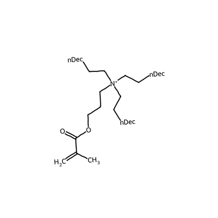 C=C(C)C(=O)OCCC[N+](CCCCCCCCCCCC)(CCCCCCCCCCCC)CCCCCCCCCCCC